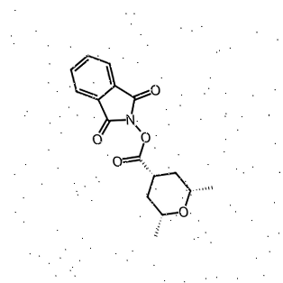 C[C@@H]1C[C@H](C(=O)ON2C(=O)c3ccccc3C2=O)C[C@H](C)O1